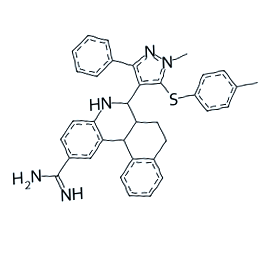 Cc1ccc(Sc2c(C3Nc4ccc(C(=N)N)cc4C4c5ccccc5CCC34)c(-c3ccccc3)nn2C)cc1